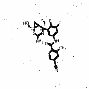 Cc1cc(C#N)cnc1C(=O)Nc1cc(F)c(F)c([C@@]2(CF)N=C(N)S[C@@]3(CO)CC32)c1